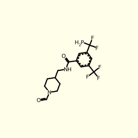 O=CN1CCC(CNC(=O)c2cc(C(F)(F)F)cc(C(F)(F)P)c2)CC1